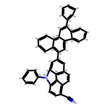 N#Cc1ccc2c3c1ccc1cc(-c4cc5c6ccccc6c(-c6ccccc6)cc5c5ccccc45)cc(c13)n2-c1ccccc1